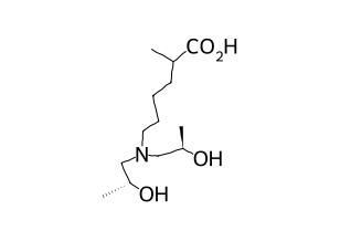 CC(CCCCN(C[C@@H](C)O)C[C@@H](C)O)C(=O)O